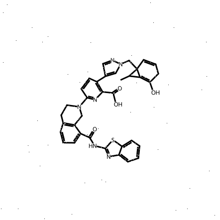 CC1C2=C(O)CC=CC21Cn1cc(-c2ccc(N3CCc4cccc(C(=O)Nc5nc6ccccc6s5)c4C3)nc2C(=O)O)cn1